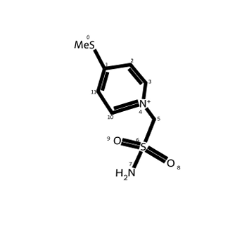 CSc1cc[n+](CS(N)(=O)=O)cc1